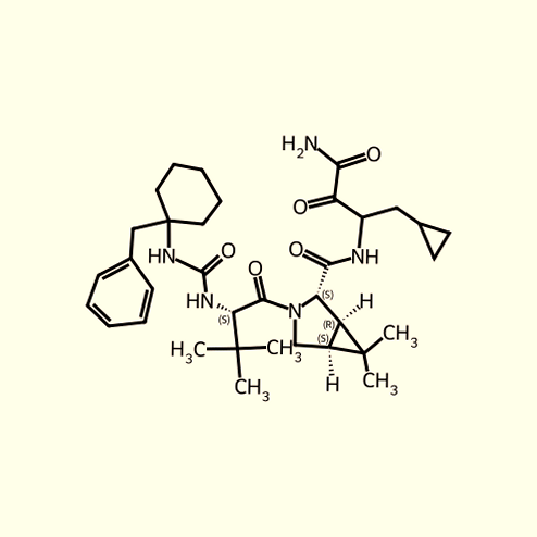 CC(C)(C)[C@H](NC(=O)NC1(Cc2ccccc2)CCCCC1)C(=O)N1C[C@H]2[C@@H]([C@H]1C(=O)NC(CC1CC1)C(=O)C(N)=O)C2(C)C